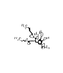 CCCCOC(=O)C(=Cc1cc(OC)c(O)c(OC)c1)C(=O)OCCCC